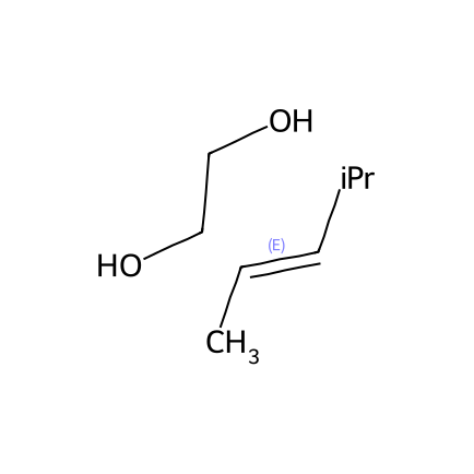 C/C=C/C(C)C.OCCO